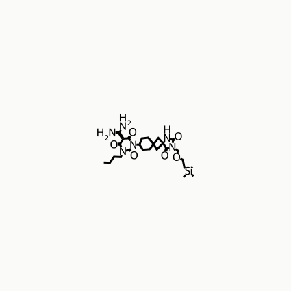 CCCCN1C(=O)C(=C(N)N)C(=O)N(C2CCC3(CC2)CC2(C3)NC(=O)N(COCC[Si](C)(C)C)C2=O)C1=O